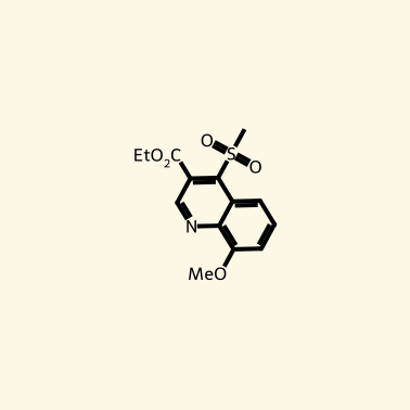 CCOC(=O)c1cnc2c(OC)cccc2c1S(C)(=O)=O